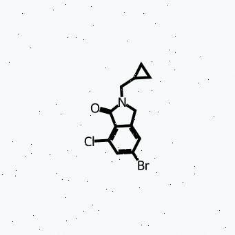 O=C1c2c(Cl)cc(Br)cc2CN1CC1CC1